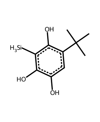 CC(C)(C)c1cc(O)c(O)c([SiH3])c1O